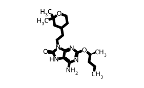 CCC[C@H](C)Oc1nc(N)c2[nH]c(=O)n(CCC3CCOC(C)(C)C3)c2n1